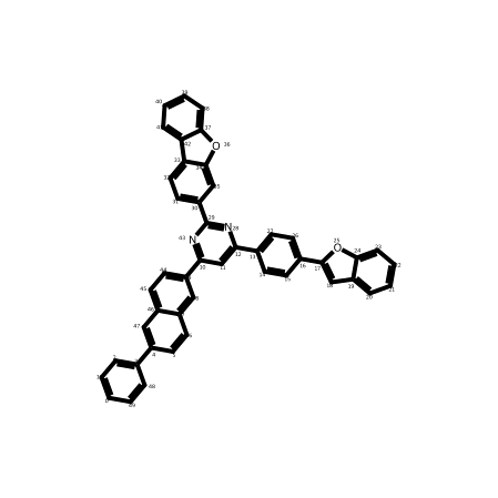 c1ccc(-c2ccc3cc(-c4cc(-c5ccc(-c6cc7ccccc7o6)cc5)nc(-c5ccc6c(c5)oc5ccccc56)n4)ccc3c2)cc1